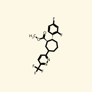 COC(=O)[C@@H]1CC(c2ccc(C(F)(F)F)nn2)CCC[C@H]1c1ccc(F)cc1F